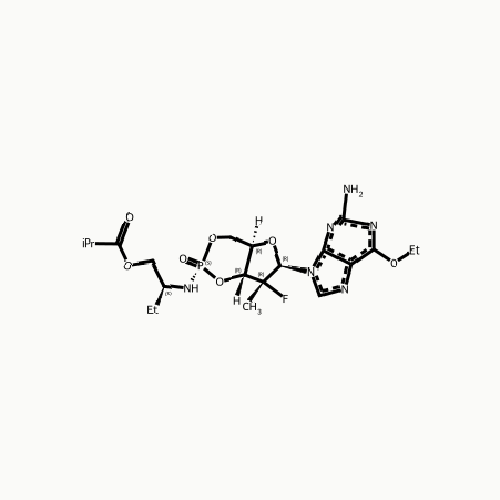 CCOc1nc(N)nc2c1ncn2[C@@H]1O[C@@H]2CO[P@@](=O)(N[C@@H](CC)COC(=O)C(C)C)O[C@H]2[C@@]1(C)F